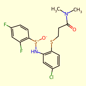 CN(C)C(=O)CCSc1ccc(Cl)cc1N[S+]([O-])c1ccc(F)cc1F